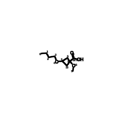 CCCCOC1CC(OC)(C(=O)O)C1